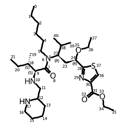 CCCCCCN(C(=O)[C@@H](NCC1CCCCN1)[C@@H](C)CC)[C@H](C[C@@H](OCC)c1nc(C(=O)OCC)cs1)C(C)C